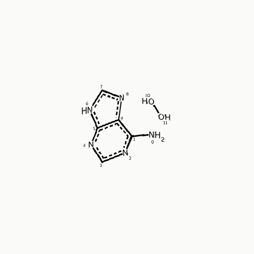 Nc1ncnc2[nH]cnc12.OO